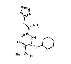 CCC(C)[C@@H](O)[C@@H](O)[C@@H](CC1CCCCC1)NC(=O)[C@@H](N)Cc1c[nH]cn1